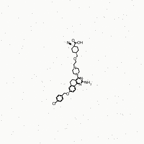 N#C[C@]1(C(=O)O)CC[C@@H](COCCN2CCN(c3nc(N)nc4c3CCc3cc(OCc5ccc(Cl)cc5)ccc3-4)CC2)CC1